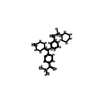 CCN(CC)C(=O)c1ccc(C(=C2CCNCC2)c2cccc(N[C@@H](C)C3CCCCC3)c2)cc1